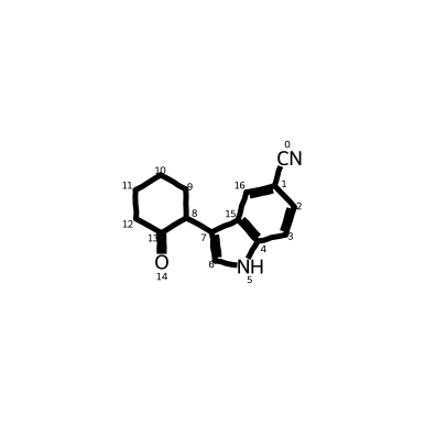 N#Cc1ccc2[nH]cc(C3CCCCC3=O)c2c1